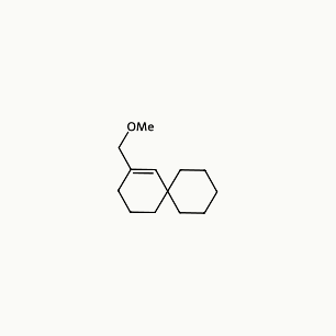 COCC1=CC2(CCCCC2)CCC1